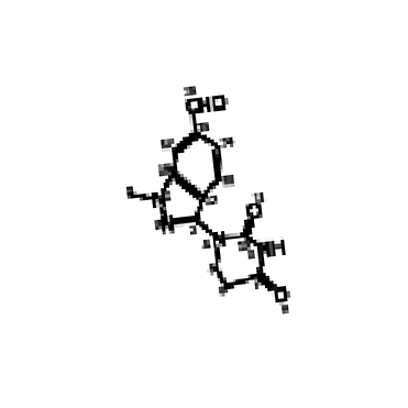 Cn1nc(N2CCC(=O)NC2=O)c2ccc(C=O)cc21